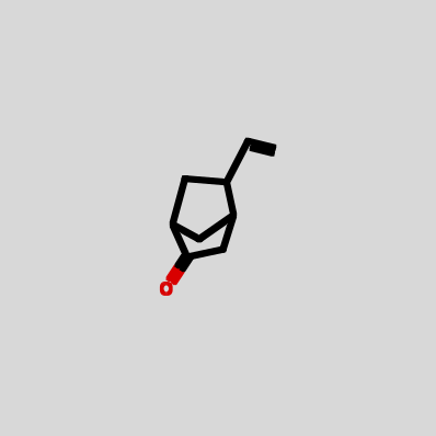 C=CC1CC2CC1CC2=O